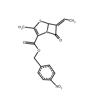 CC=C1C(=O)N2C(C(=O)OCc3ccc([N+](=O)[O-])cc3)=C(C)SC12